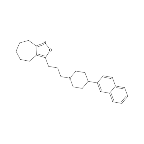 c1ccc2cc(C3CCN(CCCc4onc5c4CCCCC5)CC3)ccc2c1